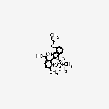 C=CCOc1cccc2c1nc(-c1nc(C)ccc1C(=O)O)n2S(=O)(=O)N(C)C